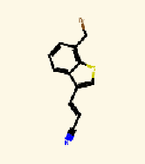 N#CC=Cc1csc2c(CBr)cccc12